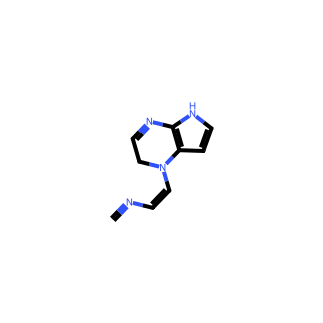 C=N/C=C\N1CC=Nc2[nH]ccc21